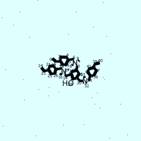 C=Cc1ccc(C[N+](C)(C)Cc2cc(C[N+](C)(C)Cc3ccc(C=C)cc3)c(O)c(C[N+](C)(C)Cc3ccc(C=C)cc3)c2)cc1